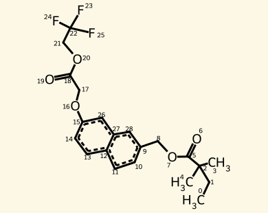 CCC(C)(C)C(=O)OCc1ccc2ccc(OCC(=O)OCC(F)(F)F)cc2c1